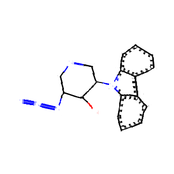 [N-]=[N+]=NC1CNCC(n2c3ccccc3c3ccccc32)C1O